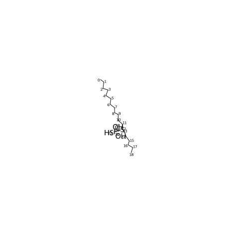 CCCCCCCCCCCCS(CCCCCC)=P(O)(O)S